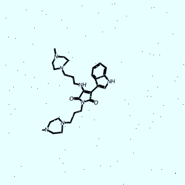 CN1CCN(CCCNC2=C(c3c[nH]c4ccccc34)C(=O)N(CCCN3CCN(C)CC3)C2=O)CC1